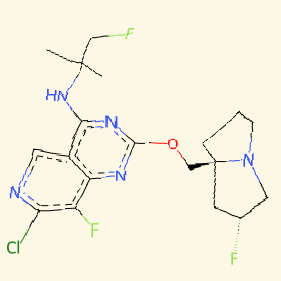 CC(C)(CF)Nc1nc(OC[C@@]23CCCN2C[C@H](F)C3)nc2c(F)c(Cl)ncc12